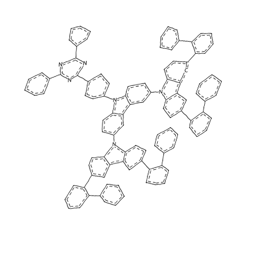 c1ccc(-c2nc(-c3ccccc3)nc(-c3ccc(-n4c5ccc(-n6c7ccc(-c8ccccc8-c8ccccc8)cc7c7cc(-c8ccccc8-c8ccccc8)ccc76)cc5c5cc(-n6c7ccc(-c8ccccc8-c8ccccc8)cc7c7cc(-c8ccccc8-c8ccccc8)ccc76)ccc54)cc3)n2)cc1